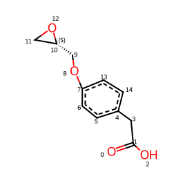 O=C(O)Cc1ccc(OC[C@@H]2CO2)cc1